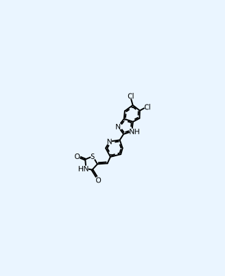 O=C1NC(=O)C(=Cc2ccc(-c3nc4cc(Cl)c(Cl)cc4[nH]3)nc2)S1